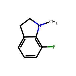 CN1CCc2cccc(F)c21